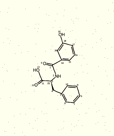 O=C(N[C@@H](Cc1ccccc1)C(=O)O)c1cccc(O)c1